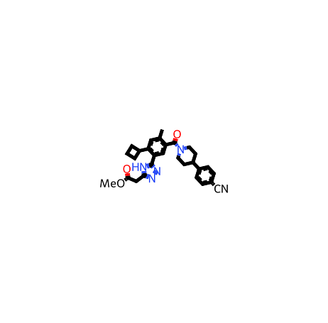 COC(=O)Cc1nnc(-c2cc(C(=O)N3CCC(c4ccc(C#N)cc4)CC3)c(C)cc2C2CCC2)[nH]1